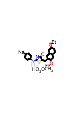 CC(=O)O.CCOc1ccc2cc(OCC)c(C=C3SC(Nc4cc[c]([Na])cc4)=NC3=O)cc2c1